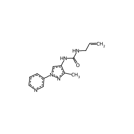 C=CCNC(=O)Nc1cn(-c2cccnc2)nc1C